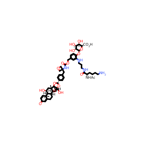 CC(=O)N[C@@H](CCCCN)C(=O)NCCCNc1cc(COC(=O)NC2(Cc3ccc([C@@H]4O[C@@H]5C[C@H]6[C@@H]7CCC8=CC(=O)C=C[C@]8(C)[C@H]7[C@@H](O)C[C@]6(C)[C@]5(C(=O)CO)O4)cc3)COC2)ccc1O[C@@H]1O[C@H](C(=O)O)[C@@H](O)[C@H](O)[C@H]1O